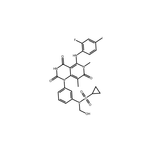 Cc1c(=O)n(C)c(Nc2ccc(I)cc2F)c2c(=O)[nH]c(=O)n(-c3cccc(N(CO)S(=O)(=O)C4CC4)c3)c12